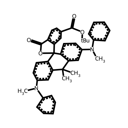 CN(c1ccccc1)c1ccc2c(c1)C(C)(C)c1cc(N(C)c3ccccc3)ccc1C21OC(=O)c2ccc(C(=O)OC(C)(C)C)cc21